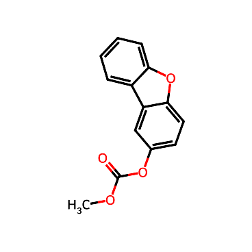 COC(=O)Oc1ccc2oc3ccccc3c2c1